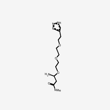 CNC(=O)CC(N)OCCOCCOCCc1c[nH]nn1